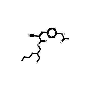 CCCCC(CC)COC(=O)/C(C#N)=C\c1ccc(NC(C)=O)cc1